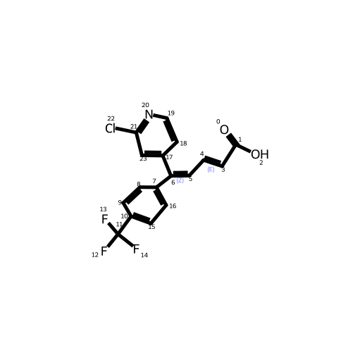 O=C(O)/C=C/C=C(/c1ccc(C(F)(F)F)cc1)c1ccnc(Cl)c1